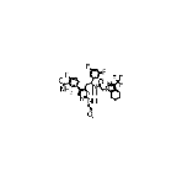 COCCNc1ncc(-c2ccc(F)c(C(N)=O)c2)c(CC(NC(=O)Cn2nc(C(F)(F)F)c3c2CCCC3)c2cc(F)cc(F)c2)n1